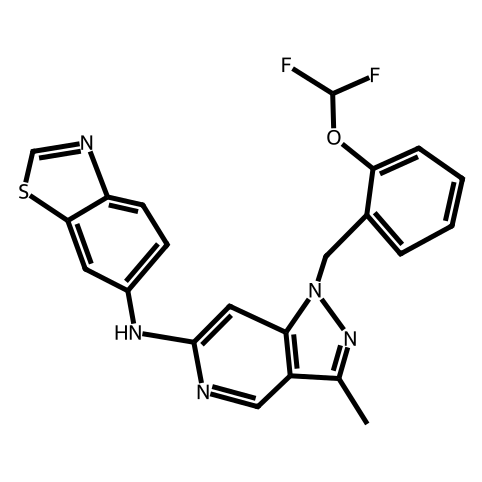 Cc1nn(Cc2ccccc2OC(F)F)c2cc(Nc3ccc4ncsc4c3)ncc12